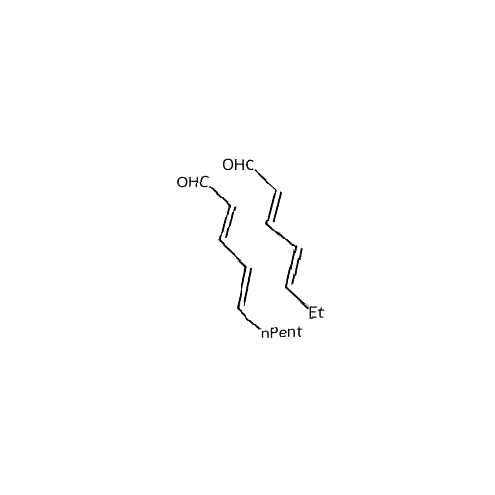 CC/C=C/C=C/C=O.CCCCC/C=C/C=C/C=O